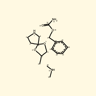 CC1COC2(CCNC2)O1.CNC.NC(=O)OCc1ccccc1